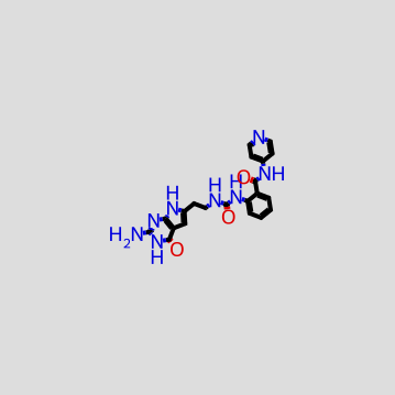 Nc1nc2[nH]c(CCNC(=O)Nc3ccccc3C(=O)Nc3ccncc3)cc2c(=O)[nH]1